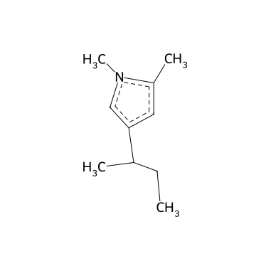 CCC(C)c1cc(C)n(C)c1